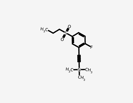 CCCS(=O)(=O)c1ccc(F)c(C#C[Si](C)(C)C)c1